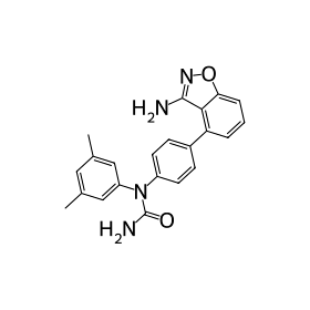 Cc1cc(C)cc(N(C(N)=O)c2ccc(-c3cccc4onc(N)c34)cc2)c1